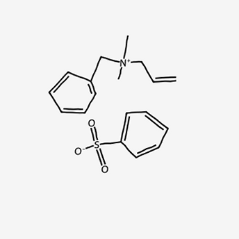 C=CC[N+](C)(C)Cc1ccccc1.O=S(=O)([O-])c1ccccc1